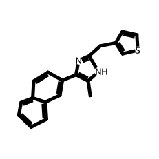 Cc1[nH]c(Cc2ccsc2)nc1-c1ccc2ccccc2c1